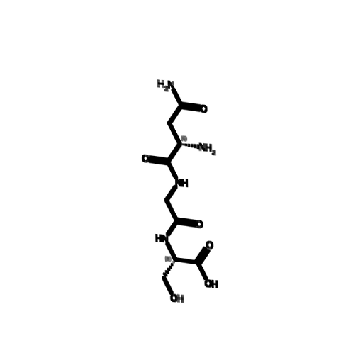 NC(=O)C[C@H](N)C(=O)NCC(=O)N[C@@H](CO)C(=O)O